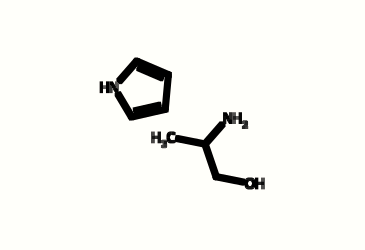 CC(N)CO.c1cc[nH]c1